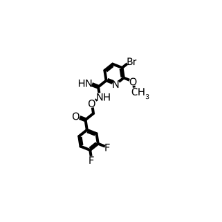 COc1nc(C(=N)NOCC(=O)c2ccc(F)c(F)c2)ccc1Br